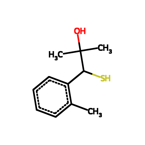 Cc1ccccc1C(S)C(C)(C)O